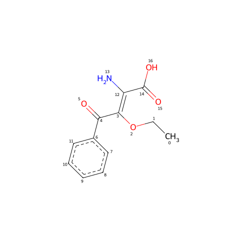 CCOC(C(=O)c1ccccc1)=C(N)C(=O)O